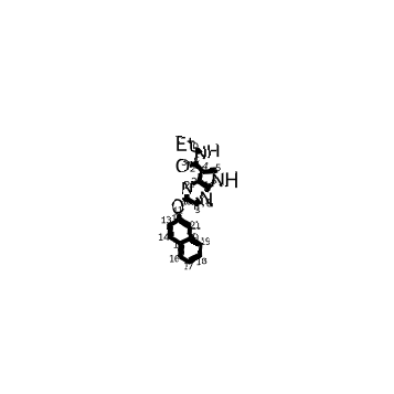 CCNC(=O)c1c[nH]c2ncc(Oc3ccc4ccccc4c3)nc12